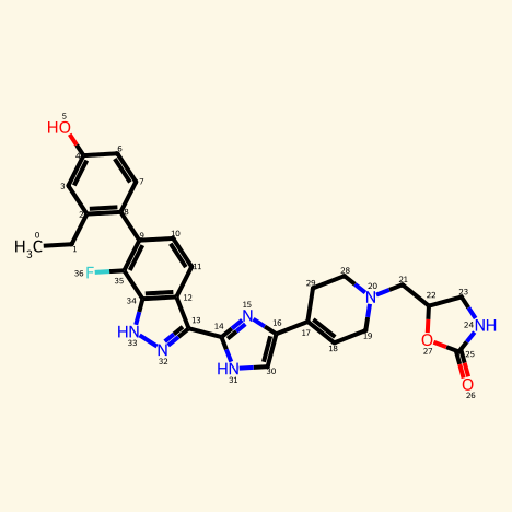 CCc1cc(O)ccc1-c1ccc2c(-c3nc(C4=CCN(CC5CNC(=O)O5)CC4)c[nH]3)n[nH]c2c1F